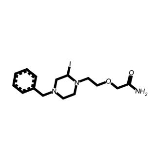 NC(=O)COCCN1CCN(Cc2ccccc2)CC1I